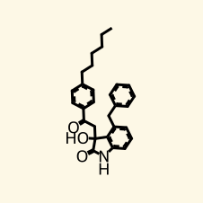 CCCCCCc1ccc(C(=O)CC2(O)C(=O)Nc3cccc(Cc4ccccc4)c32)cc1